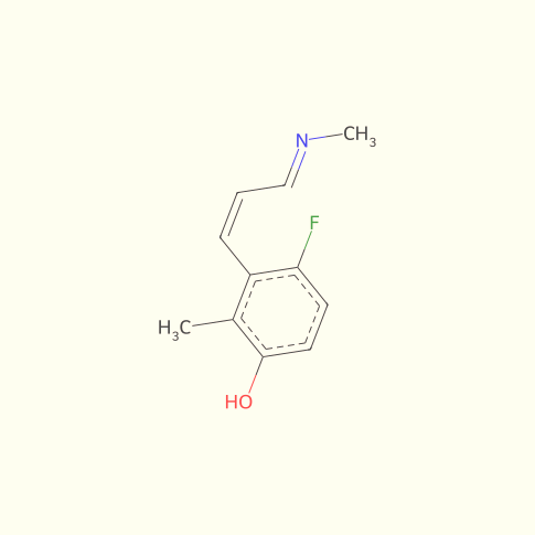 C/N=C/C=C\c1c(F)ccc(O)c1C